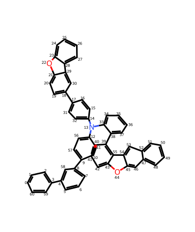 c1ccc(-c2cccc(-c3ccc(N(c4ccc(-c5ccc6oc7ccccc7c6c5)cc4)c4ccccc4-c4cccc5oc6cc7ccccc7cc6c45)cc3)c2)cc1